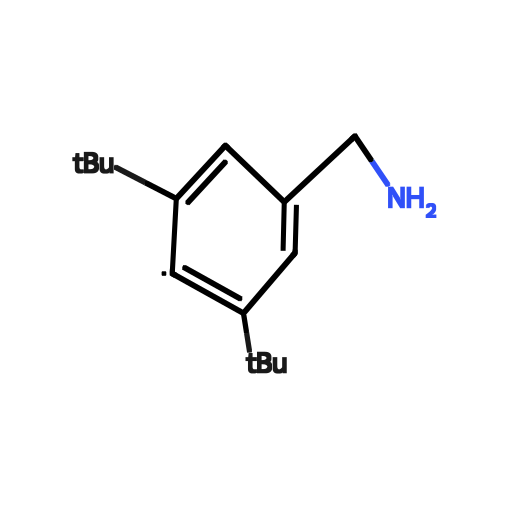 CC(C)(C)c1[c]c(C(C)(C)C)cc(CN)c1